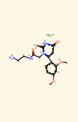 COc1ccc(-c2cc(=O)[nH]c(=S)n2CC(=O)NCCN)c(OC)c1.Cl